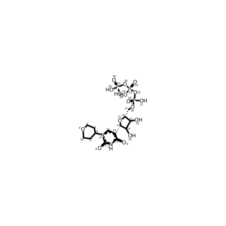 O=c1[nH]c(=O)n(C2CCOCC2)cc1[C@@H]1O[C@H](COP(=O)(O)OP(=O)(O)OP(=O)(O)O)C(O)C1O